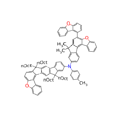 CCCCCCCCC1(CCCCCCCC)c2cc(N(c3ccc(C)cc3)c3ccc4c(c3)C(C)(C)c3cc(-c5cccc6oc7ccccc7c56)c5oc6ccccc6c5c3-4)ccc2-c2cc3c(cc21)-c1c(ccc2oc4ccccc4c12)C3(CCCCCCCC)CCCCCCCC